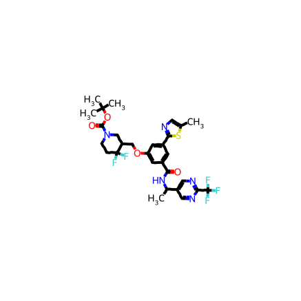 Cc1cnc(-c2cc(OCC3CN(C(=O)OC(C)(C)C)CCC3(F)F)cc(C(=O)NC(C)c3cnc(C(F)(F)F)nc3)c2)s1